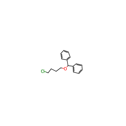 ClCCCCOC(c1ccccc1)c1ccccc1